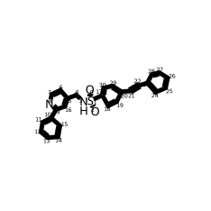 O=S(=O)(NCc1ccnc(-c2ccccc2)c1)c1ccc(C#Cc2ccccc2)cc1